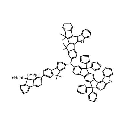 CCCCCCCC1(CCCCCCC)c2ccccc2-c2ccc(-c3ccc4c(c3)C(C)(C)c3cc(N(c5ccc6c(c5)C(C)(C)c5c7c(c8c(oc9ccccc98)c5-6)-c5ccccc5C7(C)C)c5ccc6c(c5)C(c5ccccc5)(c5ccccc5)c5cc7c(cc5-6)C(c5ccccc5)(c5ccccc5)c5ccc6oc8ccccc8c6c5-7)ccc3-4)cc21